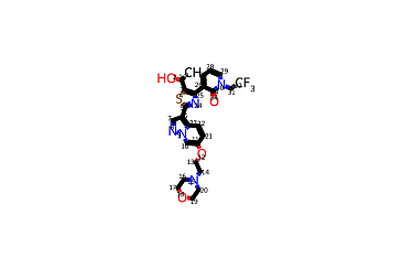 CC(O)c1sc(-c2cnn3cc(OCCN4CCOCC4)ccc23)nc1-c1cccn(CC(F)(F)F)c1=O